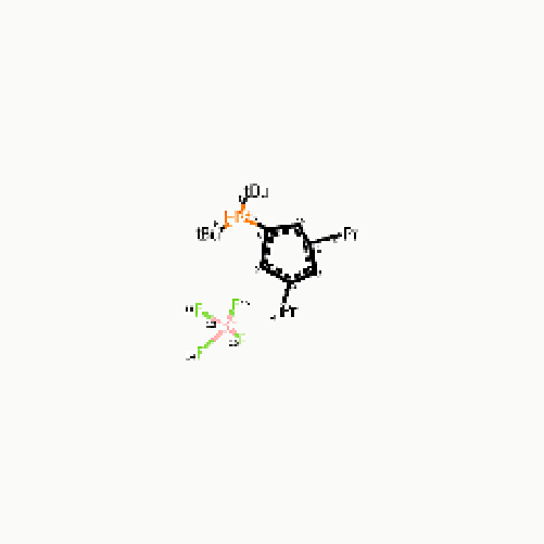 CC(C)c1cc(C(C)C)cc([PH+](C(C)(C)C)C(C)(C)C)c1.F[B-](F)(F)F